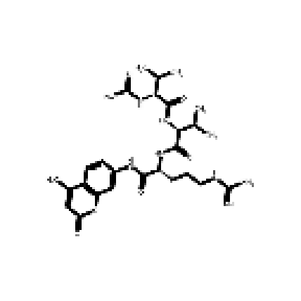 Cc1cc(=O)oc2cc(NC(=O)[C@H](CCCNC(=N)N)NC(=O)[C@@H](NC(=O)[C@@H](NC(=O)O)C(C)C)C(C)C)ccc12